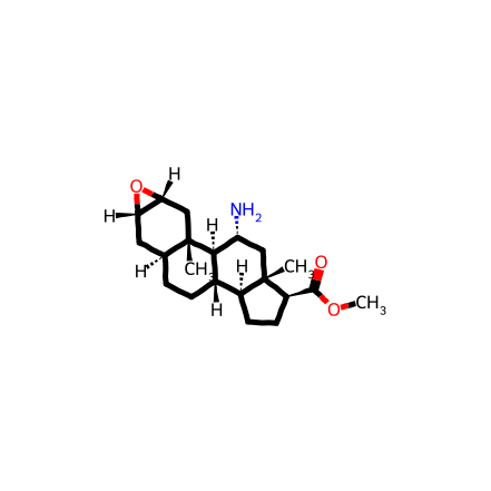 COC(=O)[C@H]1CC[C@H]2[C@@H]3CC[C@H]4C[C@@H]5O[C@@H]5C[C@]4(C)[C@H]3[C@H](N)C[C@]12C